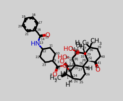 C=C1C(=O)[C@]23[C@H](OC(=O)C4CCC(NC(=O)c5ccccc5)CC4)[C@H]1CC[C@H]2[C@@]12CO[C@@]3(O)[C@@H](O)[C@@H]1C(C)(C)CCC2=O